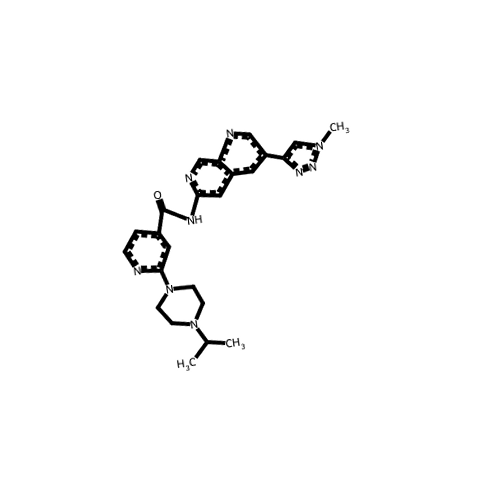 CC(C)N1CCN(c2cc(C(=O)Nc3cc4cc(-c5cn(C)nn5)cnc4cn3)ccn2)CC1